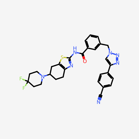 N#Cc1ccc(-c2cn(Cc3cccc(C(=O)Nc4nc5c(s4)CC(N4CCC(F)(F)CC4)CC5)c3)nn2)cc1